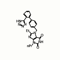 CCCn1c(=O)[nH]c(=O)c2c1nc(CC)n2Cc1ccc(-c2ccccc2-c2nnn[nH]2)cc1